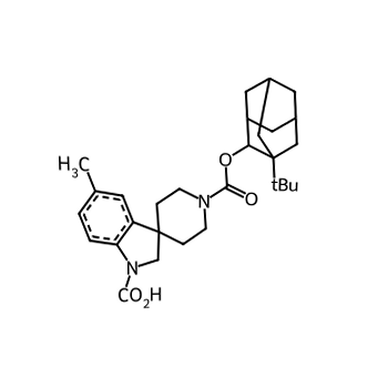 Cc1ccc2c(c1)C1(CCN(C(=O)OC3C4CC5CC(C4)CC3(C(C)(C)C)C5)CC1)CN2C(=O)O